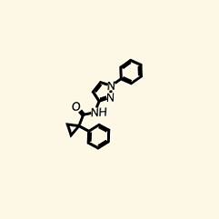 O=C(Nc1ccn(-c2ccccc2)n1)C1(c2ccccc2)CC1